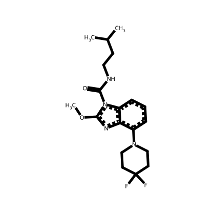 COc1nc2c(N3CCC(F)(F)CC3)cccc2n1C(=O)NCCC(C)C